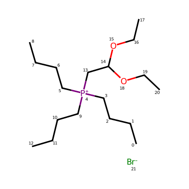 CCCC[P+](CCCC)(CCCC)CC(OCC)OCC.[Br-]